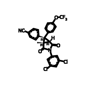 C[C@@]12C(=O)N(c3cc(Cl)cc(Cl)c3)C(=O)[C@@H]1[C@]2(c1ccc(C#N)cc1)c1ccc(OC(F)(F)F)cc1